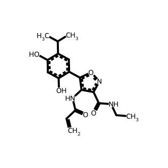 C=CC(=O)Nc1c(C(=O)NCC)noc1-c1cc(C(C)C)c(O)cc1O